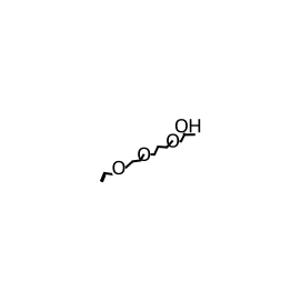 C=CCOCCCOCCCOCC(C)O